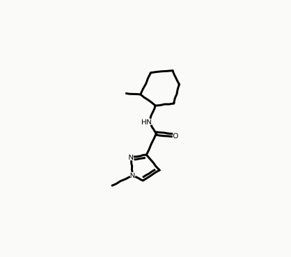 CC1CCCCC1NC(=O)c1ccn(C)n1